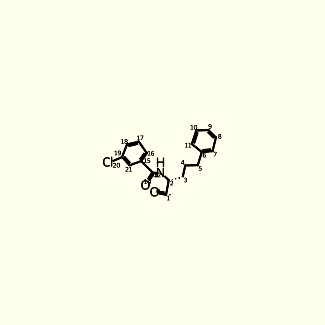 O=[C][C@@H](CCCc1ccccc1)NC(=O)c1cccc(Cl)c1